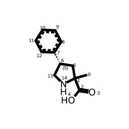 CC1(C(=O)O)C[C@@H](c2ccccc2)CN1